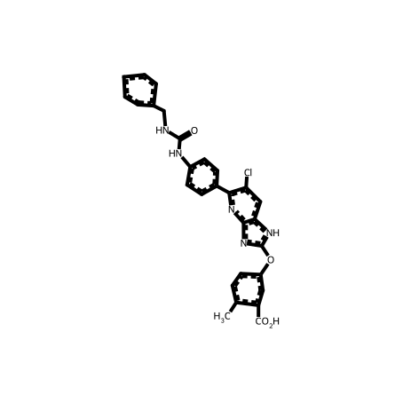 Cc1ccc(Oc2nc3nc(-c4ccc(NC(=O)NCc5ccccc5)cc4)c(Cl)cc3[nH]2)cc1C(=O)O